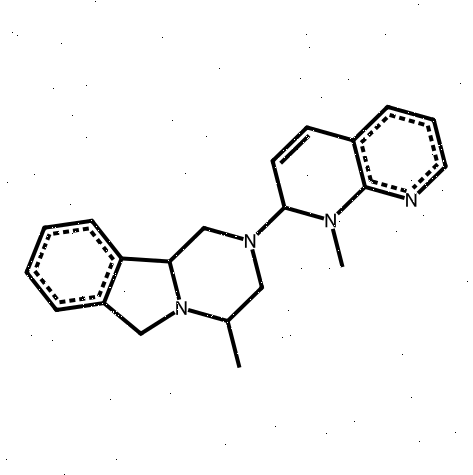 CC1CN(C2C=Cc3cccnc3N2C)CC2c3ccccc3CN12